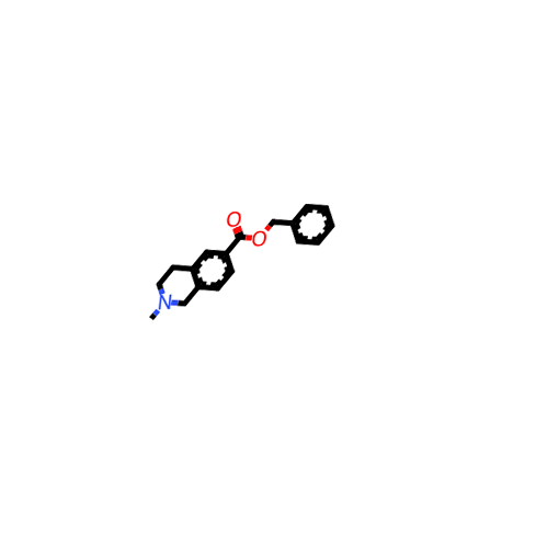 CN1CCc2cc(C(=O)OCc3ccccc3)ccc2C1